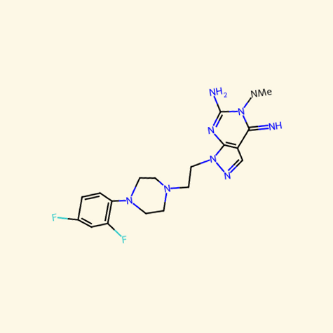 CNn1c(N)nc2c(cnn2CCN2CCN(c3ccc(F)cc3F)CC2)c1=N